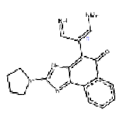 CN/C=C(\C=N)C1=C2N=C(N3CCCC3)N=C2c2ccccc2C1=O